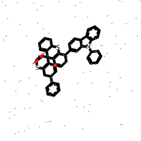 C1=CCC2SC3=C(C=CCC3C3=CC4C(C=C3)c3ccccc3N4C3C=CC=CC3)C3(C2=C1)C1=C(CCC=C1)SC1=C3C=CC(c2ccccc2)C1